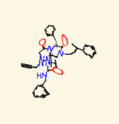 C#CCN1CC(=O)N2[C@@H](c3ccccc3)C(=O)N(CC(C)c3ccccc3)C[C@@H]2N1C(=O)NCc1ccccc1